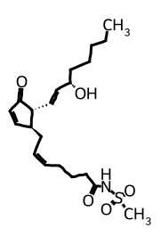 CCCCC[C@H](O)/C=C/[C@H]1C(=O)C=C[C@@H]1C/C=C\CCCC(=O)NS(C)(=O)=O